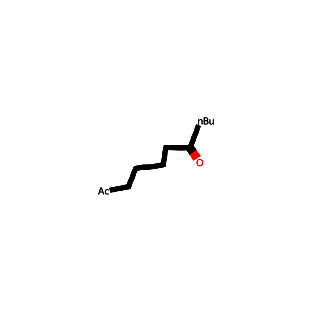 CCCCC(=O)CCCCC(C)=O